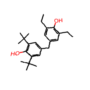 CCc1cc(Cc2cc(C(C)(C)C)c(O)c(C(C)(C)C)c2)cc(CC)c1O